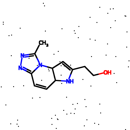 Cc1nnc2n1C1C=C(CCO)NC1C=C2